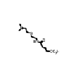 CN(C)CCOCCNC(=O)CCCC(=O)O